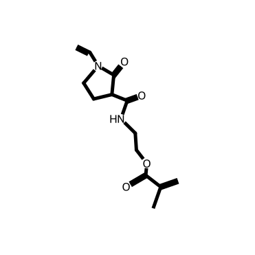 C=CN1CCC(C(=O)NCCOC(=O)C(=C)C)C1=O